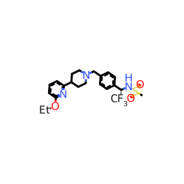 CCOc1cccc(C2CCN(Cc3ccc([C@H](NS(C)(=O)=O)C(F)(F)F)cc3)CC2)n1